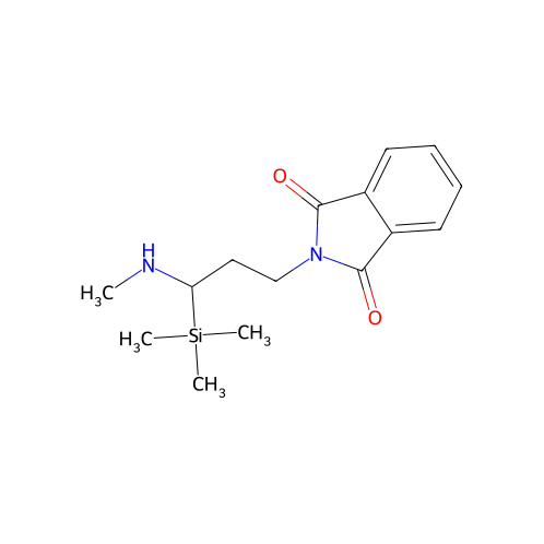 CNC(CCN1C(=O)c2ccccc2C1=O)[Si](C)(C)C